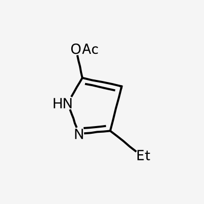 CCc1cc(OC(C)=O)[nH]n1